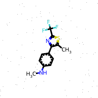 CNc1ccc(-c2nc(C(F)(F)F)sc2C)cc1